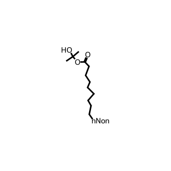 CCCCCCCCCCCCCCCCCC(=O)OC(C)(C)O